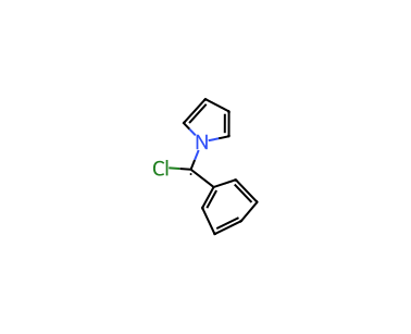 Cl[C](c1ccccc1)n1cccc1